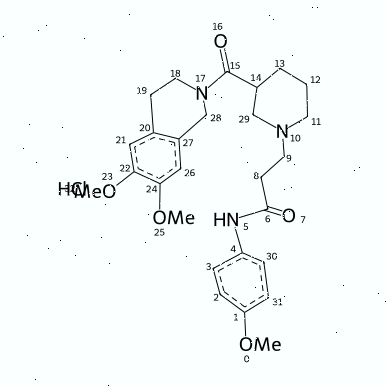 COc1ccc(NC(=O)CCN2CCCC(C(=O)N3CCc4cc(OC)c(OC)cc4C3)C2)cc1.Cl